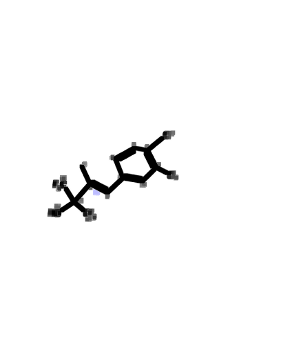 C/C(=C\c1ccc(Cl)c(Cl)c1)C(O)(C(F)(F)F)C(F)(F)F